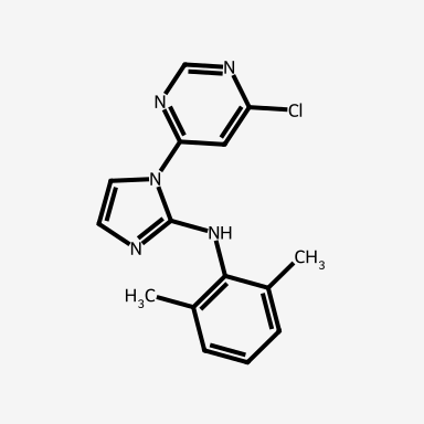 Cc1cccc(C)c1Nc1nccn1-c1cc(Cl)ncn1